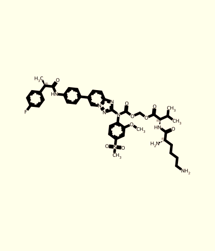 COc1cc(S(C)(=O)=O)ccc1N(C(=O)OCOC(=O)[C@@H](NC(=O)[C@@H](N)CCCCN)C(C)C)c1nc2ccc(-c3ccc(NC(=O)[C@H](C)c4ccc(F)cc4)cc3)cn2n1